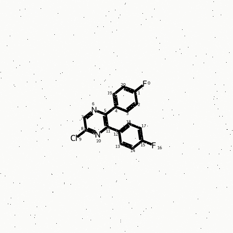 Fc1ccc(-c2ncc(Cl)nc2-c2ccc(F)cc2)cc1